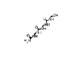 NC(=O)NCNC(=O)NCNC(=O)NCO